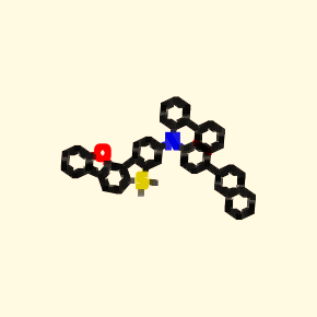 CS1(C)c2cc(N(c3ccc(-c4ccc5ccccc5c4)cc3)c3ccccc3-c3ccccc3)ccc2-c2c1ccc1c2oc2ccccc21